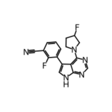 N#Cc1cccc(-c2c[nH]c3ncnc(N4CCC(F)C4)c23)c1F